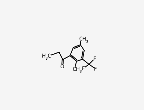 CCC(=O)c1cc(C)cc(C(F)(F)F)c1C